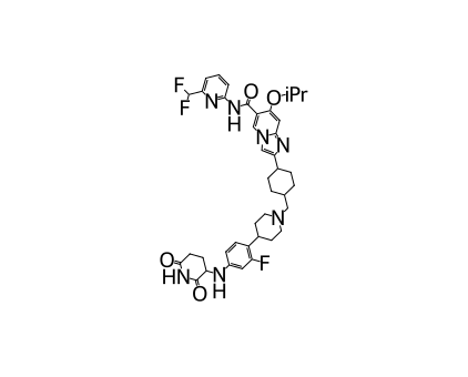 CC(C)Oc1cc2nc(C3CCC(CN4CCC(c5ccc(NC6CCC(=O)NC6=O)cc5F)CC4)CC3)cn2cc1C(=O)Nc1cccc(C(F)F)n1